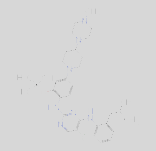 CC(C)Cc1ccccc1Nc1nc(Nc2ccc(N3CCC(N4CCN(C)CC4)CC3)cc2OC(C)(C)C)ncc1Cl